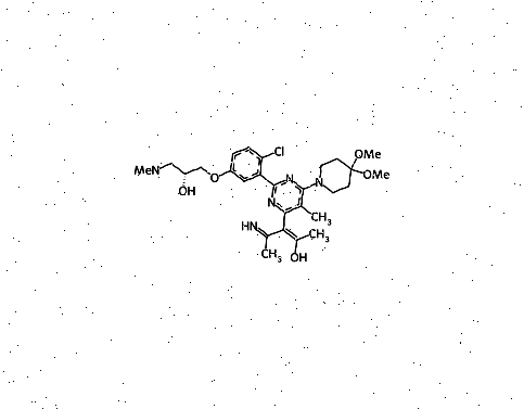 CNC[C@@H](O)COc1ccc(Cl)c(-c2nc(/C(C(C)=N)=C(\C)O)c(C)c(N3CCC(OC)(OC)CC3)n2)c1